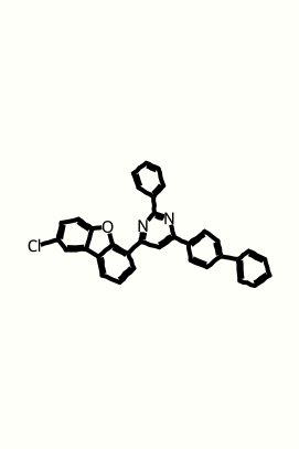 Clc1ccc2oc3c(-c4cc(-c5ccc(-c6ccccc6)cc5)nc(-c5ccccc5)n4)cccc3c2c1